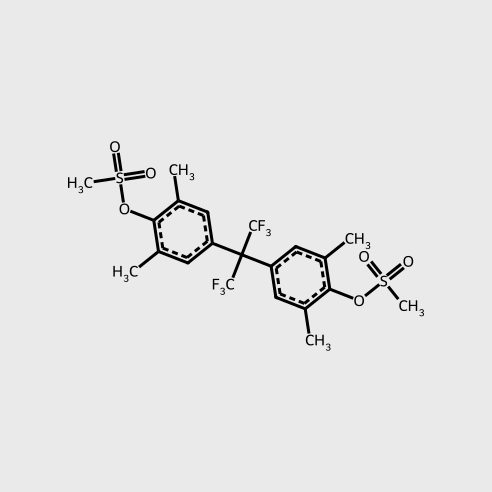 Cc1cc(C(c2cc(C)c(OS(C)(=O)=O)c(C)c2)(C(F)(F)F)C(F)(F)F)cc(C)c1OS(C)(=O)=O